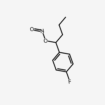 CCCC(ON=O)c1ccc(F)cc1